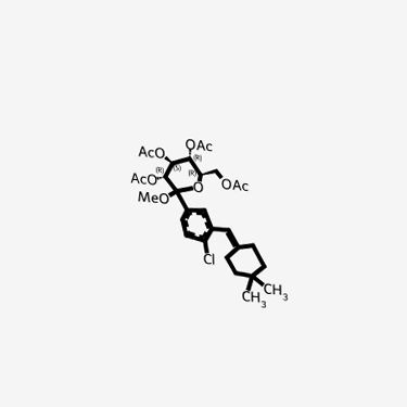 COC1(c2ccc(Cl)c(C=C3CCC(C)(C)CC3)c2)O[C@H](COC(C)=O)[C@@H](OC(C)=O)[C@H](OC(C)=O)[C@H]1OC(C)=O